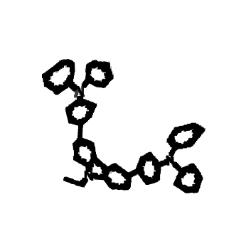 CCn1c2ccc(-c3ccc(N(c4ccccc4)c4ccccc4)cc3)cc2c2cc(-c3ccc(N(c4ccccc4)c4ccccc4)cc3)ccc21